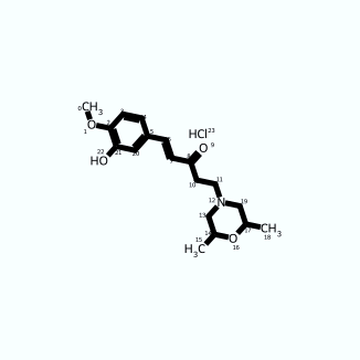 COc1ccc(C=CC(=O)CCN2CC(C)OC(C)C2)cc1O.Cl